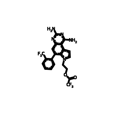 Nc1nc(N)c2c(cc(-c3ccccc3C(F)(F)F)c3c2ccn3CCOC(=O)C(F)(F)F)n1